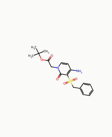 CC(C)(C)OC(=O)Cn1ccc(N)c(S(=O)(=O)Cc2ccccc2)c1=O